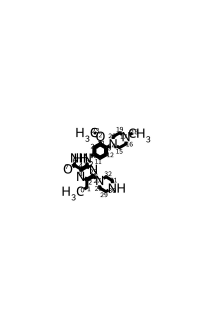 CCc1nc(C(N)=O)c(Nc2ccc(N3CCN(C)CC3)c(OC)c2)nc1N1CCNCC1